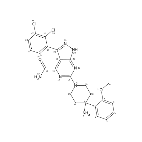 COc1ccccc1C1(N)CCN(c2nc(C(N)=O)c3c(-c4cccc(Cl)c4Cl)n[nH]c3n2)CC1